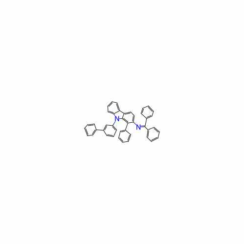 c1ccc(C(=Nc2ccc3c4ccccc4n(-c4cccc(-c5ccccc5)c4)c3c2-c2ccccc2)c2ccccc2)cc1